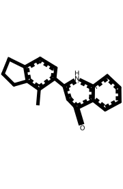 Cc1c(-c2cc(=O)c3ccccc3[nH]2)ccc2c1CCC2